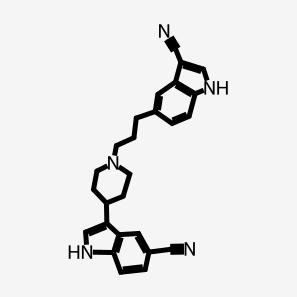 N#Cc1ccc2[nH]cc(C3CCN(CCCc4ccc5[nH]cc(C#N)c5c4)CC3)c2c1